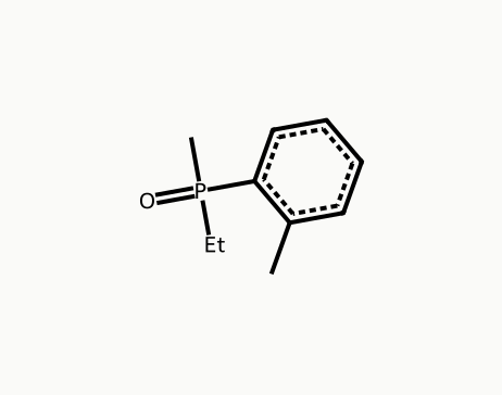 CCP(C)(=O)c1ccccc1C